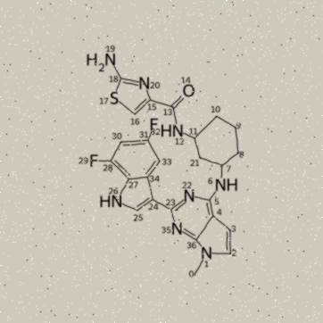 Cn1ccc2c(NC3CCCC(NC(=O)c4csc(N)n4)C3)nc(-c3c[nH]c4c(F)cc(F)cc34)nc21